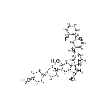 CCOc1cc(N2CCC(N3CCN(C)CC3)CC2)c(C)cc1C1(N)C=C(Nc2ccnc(-c3ccccc3F)c2)N=CN1